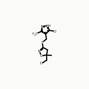 CC1(CCl)CC(SCc2c(C(F)(F)F)n[nH]c2Cl)=NO1